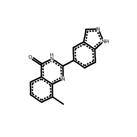 Cc1cccc2c(=O)[nH]c(-c3ccc4[nH]ncc4c3)nc12